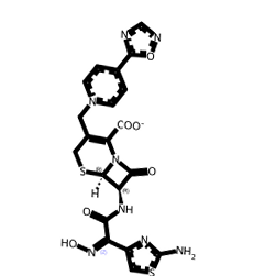 Nc1nc(/C(=N/O)C(=O)N[C@@H]2C(=O)N3C(C(=O)[O-])=C(C[n+]4ccc(-c5ncno5)cc4)CS[C@H]23)cs1